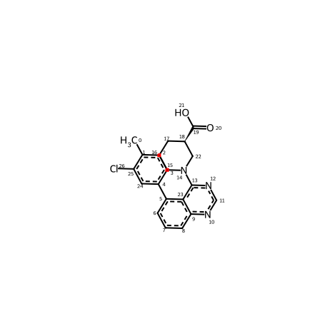 Cc1ccc(-c2cccc3ncnc(N4CCC[C@@H](C(=O)O)C4)c23)cc1Cl